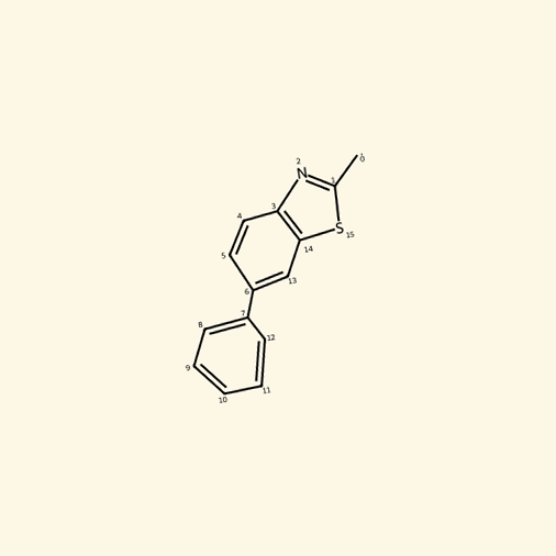 [CH2]c1nc2ccc(-c3ccccc3)cc2s1